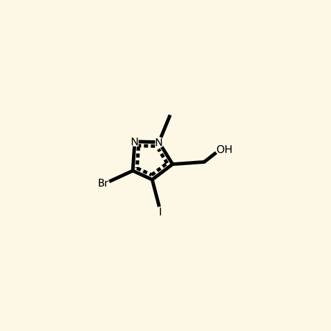 Cn1nc(Br)c(I)c1CO